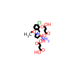 CCOc1ccc(Cl)cc1CN1CCC[C@H]1CN.O=C(O)/C=C/C(=O)O.O=C(O)/C=C/C(=O)O